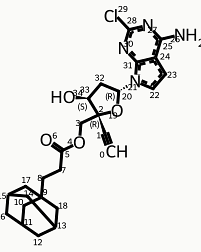 C#C[C@]1(COC(=O)CCC23CC4CC(CC(C4)C2)C3)O[C@@H](n2ccc3c(N)nc(Cl)nc32)C[C@@H]1O